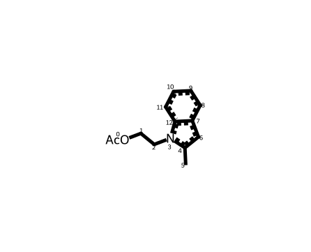 CC(=O)OCCn1c(C)cc2ccccc21